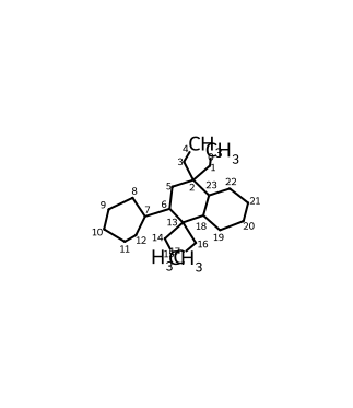 CCC1(CC)CC(C2CCCCC2)C(CC)(CC)C2CCCCC21